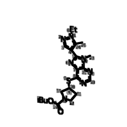 CCn1ncc(-c2nc3c(S[C@H]4CCN(C(=O)OCC(C)C)C4)ncnc3n2C)c1C